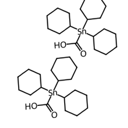 O=[C](O)[Sn]([CH]1CCCCC1)([CH]1CCCCC1)[CH]1CCCCC1.O=[C](O)[Sn]([CH]1CCCCC1)([CH]1CCCCC1)[CH]1CCCCC1